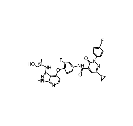 C[C@H](CO)Nc1n[nH]c2nccc(Oc3ccc(NC(=O)c4cc(C5CC5)nn(-c5ccc(F)cc5)c4=O)cc3F)c12